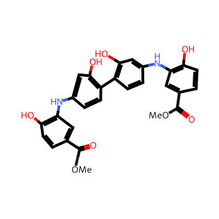 COC(=O)c1ccc(O)c(Nc2ccc(-c3ccc(Nc4cc(C(=O)OC)ccc4O)cc3O)c(O)c2)c1